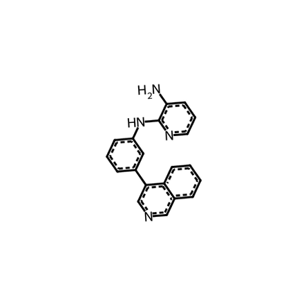 Nc1cccnc1Nc1cccc(-c2cncc3ccccc23)c1